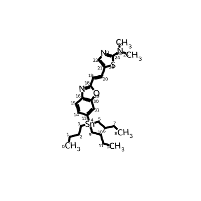 CCC[CH2][Sn]([CH2]CCC)([CH2]CCC)[c]1ccc2nc(C=Cc3cnc(N(C)C)s3)oc2c1